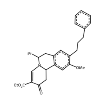 CCOC(=O)C1=CN2C(CC1=O)c1cc(OC)c(CCCc3ccccc3)cc1CC2C(C)C